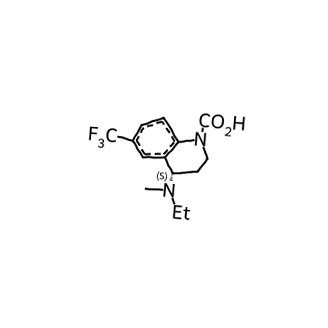 CCN(C)[C@H]1CCN(C(=O)O)c2ccc(C(F)(F)F)cc21